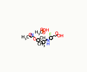 CS(=O)(=O)O.Cc1cc(COc2cc(C)c(-c3cccc(CNc4ccc(CCC(=O)O)c(F)c4)c3)c(C)c2)no1